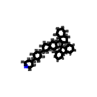 c1ccc2c(c1)-c1ccccc1C21c2cc3cc(-c4ccc(-c5ccncc5)cc4)ccc3cc2-c2c1ccc1ccccc21